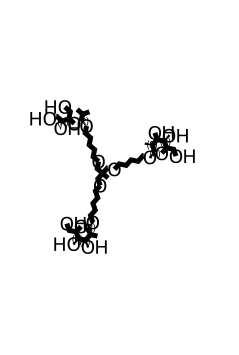 CC(C)[C@H](OCCCCCOCC(C)(COCCCCCO[C@@H]1OC(CO)[C@H](O)[C@H](O)C1C)COCCCCCO[C@@H]1OC(CO)[C@H](O)C(O)[C@@H]1C)OC(CO)[C@H](O)CO